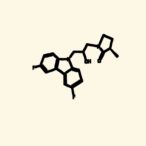 C[C@@H]1CCN(CC(O)Cn2c3ccc(F)cc3c3cc(F)ccc32)C1=O